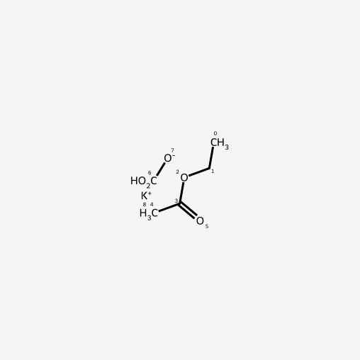 CCOC(C)=O.O=C([O-])O.[K+]